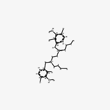 CCCCN(CCN(CCCC)Cc1ncc(C)c(OC)c1C)Cc1ncc(C)c(OC)c1C